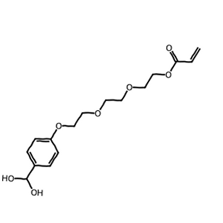 C=CC(=O)OCCOCCOCCOc1ccc(C(O)O)cc1